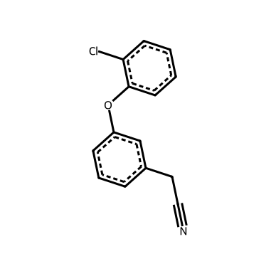 N#CCc1cccc(Oc2ccccc2Cl)c1